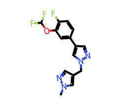 Cn1cc(Cn2cc(-c3ccc(F)c(OC(F)F)c3)cn2)cn1